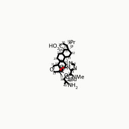 CNC(=O)c1ncnn1[C@@H]1C[C@@]23COC[C@](C)([C@@H]2CCC2=C3CC[C@@]3(C)[C@H](C(=O)O)[C@@](C)([C@H](C)C(C)C)CC[C@@]23C)[C@H]1OC[C@](C)(N)C(C)(C)C